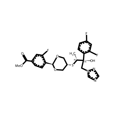 COC(=O)c1ccc([C@H]2OC[C@H](S[C@H](C)[C@](O)(Cn3cncn3)c3ccc(F)cc3F)CO2)c(F)c1